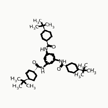 CC(C)(C)[C@H]1CC[C@@H](C(=O)Nc2cc(NC(=O)[C@H]3CC[C@H](C(C)(C)C)CC3)cc(NC(=O)[C@H]3CC[C@H](C(C)(C)C)CC3)c2)CC1